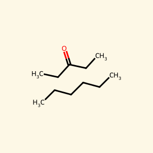 CCC(=O)CC.CCCCCC